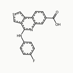 O=C(O)c1ccc2c(c1)nc(Nc1ccc(F)cc1)c1cscc12